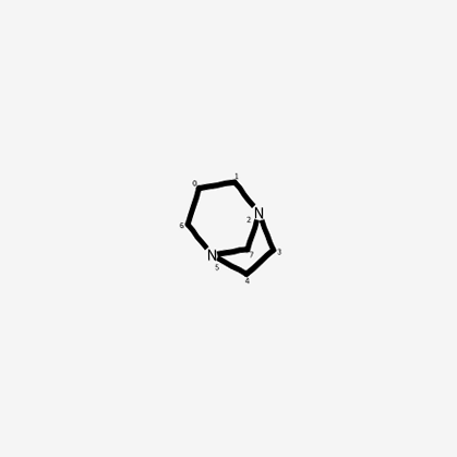 C1CN2CCN(C1)C2